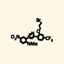 CNc1ccc([N+](=O)[O-])cc1-n1cnc(-c2ccc(C(F)(F)F)cc2OCCCBr)c1